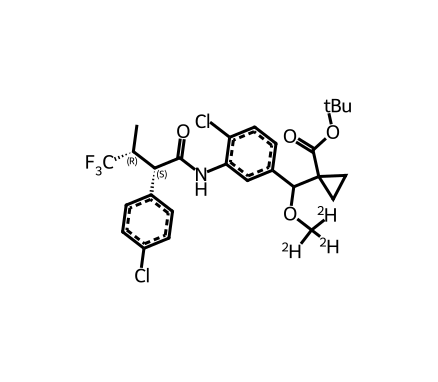 [2H]C([2H])([2H])OC(c1ccc(Cl)c(NC(=O)[C@H](c2ccc(Cl)cc2)[C@@H](C)C(F)(F)F)c1)C1(C(=O)OC(C)(C)C)CC1